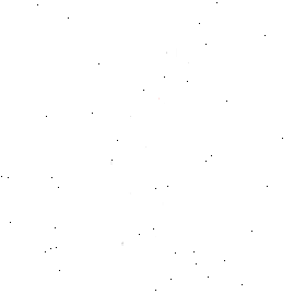 C=COCCOc1cccs1